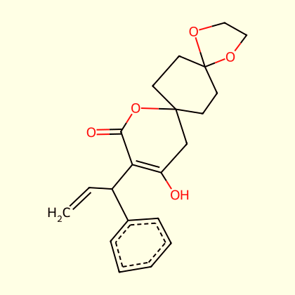 C=CC(C1=C(O)CC2(CCC3(CC2)OCCO3)OC1=O)c1ccccc1